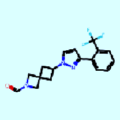 O=CN1CC2(CC(n3ccc(-c4ccccc4C(F)(F)F)n3)C2)C1